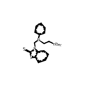 CCCCCCCCCCCCN(Cn1c(=S)sc2ccccc21)c1ccccc1